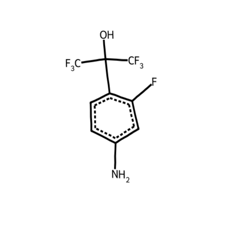 Nc1ccc(C(O)(C(F)(F)F)C(F)(F)F)c(F)c1